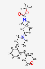 CC(C)(C)OC(=O)N1CC2(CC[C@@H](N3CCC(c4ccccc4C=C4CCOCC4)CC3)C2)C1